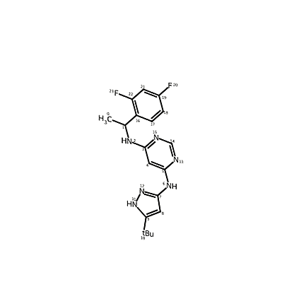 CC(Nc1cc(Nc2cc(C(C)(C)C)[nH]n2)ncn1)c1ccc(F)cc1F